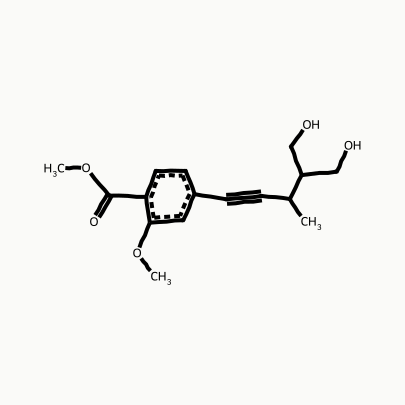 COC(=O)c1ccc(C#CC(C)C(CO)CO)cc1OC